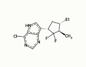 CC[C@H]1C[C@@H](c2c[nH]c3c(Cl)ncnc23)C(F)(F)[C@@H]1C